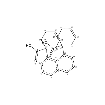 O=C(O)C1(c2cccc3cccc(C4(C(=O)O)CC=CCC4)c23)CC=CCC1